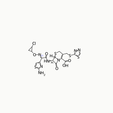 Nc1nc(/C(=N\OC2CC2Cl)C(=O)N[C@@H]2C(=O)N3C(C(=O)O)=C(CSc4nncs4)CS[C@H]23)cs1